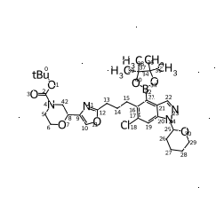 CC(C)(C)OC(=O)N1CCOC(c2coc(CCCc3c(Cl)cc4c(cnn4C4CCCCO4)c3B3OC(C)(C)C(C)(C)O3)n2)C1